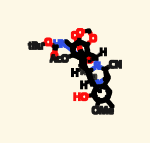 COc1c(C)cc2c(c1O)[C@H]1C3[C@@H]4SCC(NC(=O)OC(C)(C)C)C(=O)OC[C@@H](c5c6c(c(C)c(OC(C)=O)c54)OCO6)N3C(C#N)(C2)CN1C